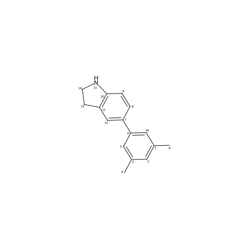 Cc1cc(C)cc(-c2ccc3c(c2)CCN3)c1